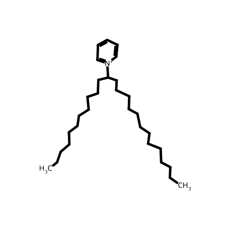 CCCCCCCCCCCCCC(CCCCCCCCCCC)[n+]1ccccc1